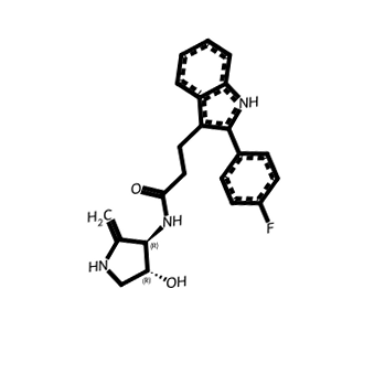 C=C1NC[C@@H](O)[C@@H]1NC(=O)CCc1c(-c2ccc(F)cc2)[nH]c2ccccc12